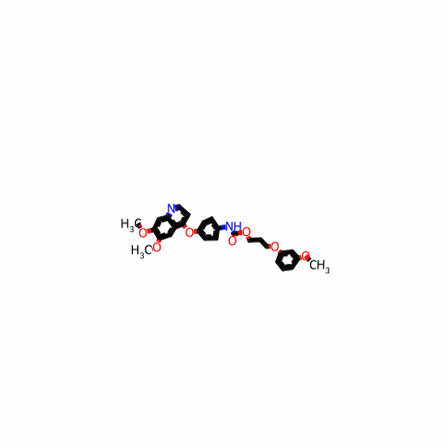 COc1cccc(OCCCOC(=O)Nc2ccc(Oc3ccnc4cc(OC)c(OC)cc34)cc2)c1